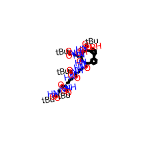 CC(C)(C)OC(=O)NCCNC(=O)[C@H](CCCCNC(=O)[C@H](CCCNC(=O)[C@@H]1Cc2cccc(c2)-c2ccc(O)c(c2)C[C@H](NC(=O)OC(C)(C)C)C(=O)N[C@@H](C[C@@H](O)CNC(=O)OC(C)(C)C)C(=O)N1)NC(=O)OC(C)(C)C)NC(=O)OC(C)(C)C